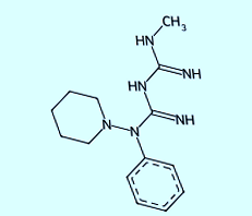 CNC(=N)NC(=N)N(c1ccccc1)N1CCCCC1